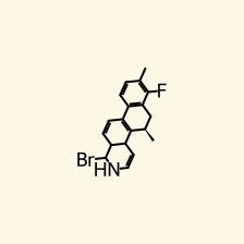 Cc1ccc2c(c1F)C[C@@H](C)C1=C2C=CC2C(Br)NC=CC12